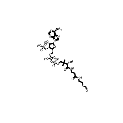 CC(C)(COP(=O)(O)OP(=O)(O)OC[C@H]1O[C@@H](n2cnc3c(N)ncnc32)[C@H](O)[C@@H]1OP(=O)(O)O)[C@@H](O)C(=O)NCCC(=O)NCCSN=O